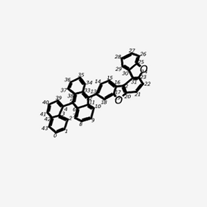 c1ccc2c(-c3c4ccccc4c(-c4ccc5c(c4)oc4ccc6oc7ccccc7c6c45)c4ccccc34)cccc2c1